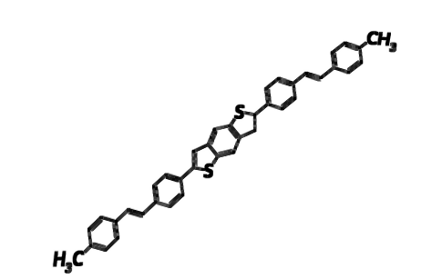 Cc1ccc(/C=C/c2ccc(-c3cc4cc5c(cc4s3)CC(c3ccc(/C=C/c4ccc(C)cc4)cc3)S5)cc2)cc1